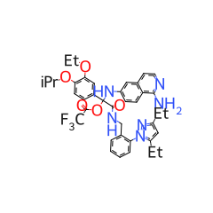 CCOc1cc(C(Nc2ccc3c(N)nccc3c2)(OC(=O)C(F)(F)F)C(=O)NCc2ccccc2-n2nc(CC)cc2CC)ccc1OC(C)C